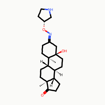 C[C@]12CC[C@H]3[C@@H](CC[C@@]4(O)C/C(=N/O[C@@H]5CCNC5)CC[C@]34C)[C@@H]1CCC2=O